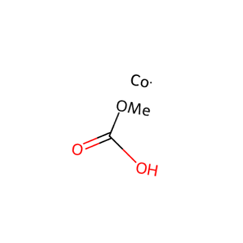 COC(=O)O.[Co]